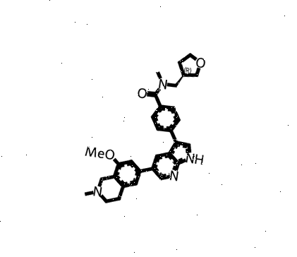 COc1cc(-c2cnc3[nH]cc(-c4ccc(C(=O)N(C)C[C@H]5CCOC5)cc4)c3c2)cc2c1CN(C)CC2